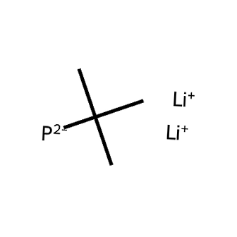 CC(C)(C)[P-2].[Li+].[Li+]